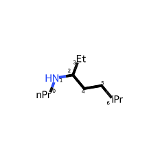 CCCNC(CC)CCC(C)C